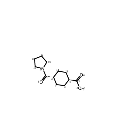 O=C(O)[C@H]1CC[C@H](C(=O)N2CCCC2)CC1